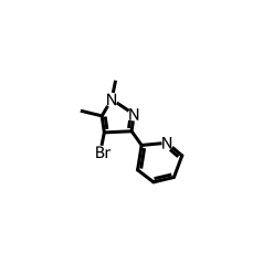 Cc1c(Br)c(-c2ccccn2)nn1C